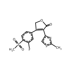 Cc1nc(C2=C(c3ccc(S(C)(=O)=O)c(F)c3)COC2=O)cs1